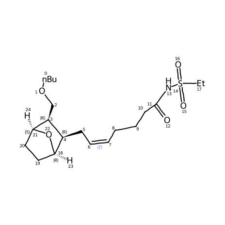 CCCCOC[C@H]1[C@@H](C/C=C\CCCC(=O)NS(=O)(=O)CC)[C@H]2CC[C@@H]1O2